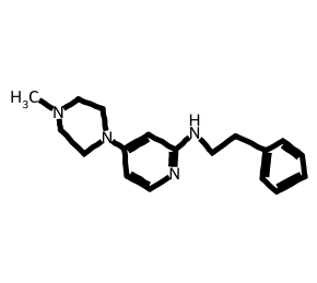 CN1CCN(c2ccnc(NCCc3ccccc3)c2)CC1